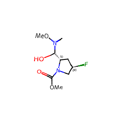 COC(=O)N1C[C@H](F)C[C@H]1C(O)N(C)OC